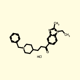 CCn1c(C)nc2cc(C(=O)CCC3CCN(Cc4ccccc4)CC3)ccc21.Cl